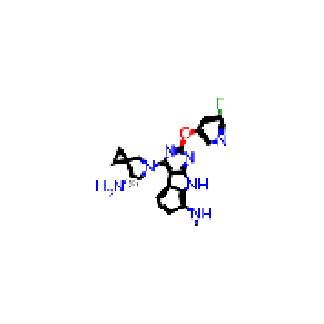 CNc1cccc2c1[nH]c1nc(Oc3cncc(F)c3)nc(N3C[C@H](N)C4(CC4)C3)c12